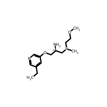 CCc1cncc(OC[C@@H](N)CN(C)CCOC)c1